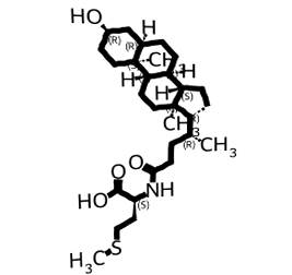 CSCC[C@H](NC(=O)CC[C@@H](C)[C@H]1CC[C@H]2[C@@H]3CC[C@@H]4C[C@H](O)CC[C@]4(C)[C@H]3CC[C@]12C)C(=O)O